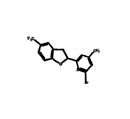 Cc1cc(Br)nc(C2Cc3cc(C(F)(F)F)ccc3O2)c1